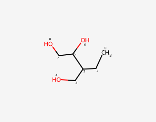 CCC(CO)C(O)CO